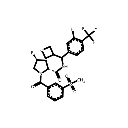 CS(=O)(=O)c1cccc(C(=O)N2C[C@@H](F)C[C@@H]2C(=O)NC(c2ccc(C(F)(F)F)c(F)c2)C2COC2)c1